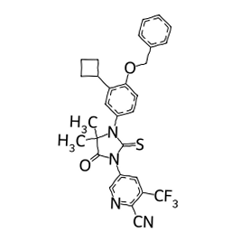 CC1(C)C(=O)N(c2cnc(C#N)c(C(F)(F)F)c2)C(=S)N1c1ccc(OCc2ccccc2)c(C2CCC2)c1